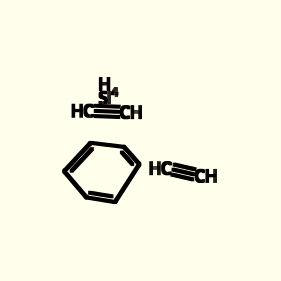 C#C.C#C.[SiH4].c1ccccc1